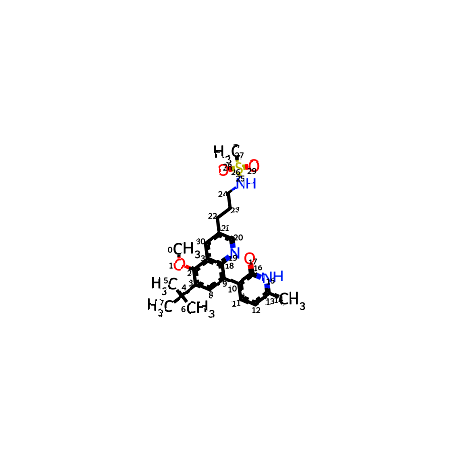 COc1c(C(C)(C)C)cc(-c2ccc(C)[nH]c2=O)c2ncc(CCCNS(C)(=O)=O)cc12